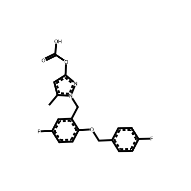 Cc1cc(OC(=O)O)nn1Cc1cc(F)ccc1OCc1ccc(F)cc1